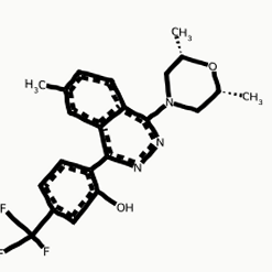 Cc1ccc2c(N3C[C@@H](C)O[C@@H](C)C3)nnc(-c3ccc(C(F)(F)F)cc3O)c2c1